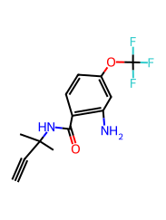 C#CC(C)(C)NC(=O)c1ccc(OC(F)(F)F)cc1N